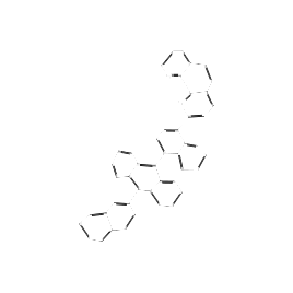 c1ccc2cc(-c3c4ccccc4c(-c4ccc(-c5ccc6ccc7cccnc7c6n5)c5ccccc45)c4ccccc34)ccc2c1